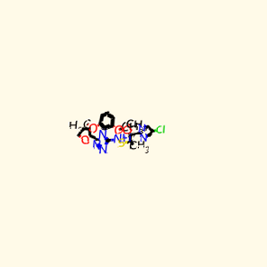 COc1cccc(OC)c1-n1c(NSC(C)[C@H](OC)c2ncc(Cl)cn2)nnc1C1CCCO1